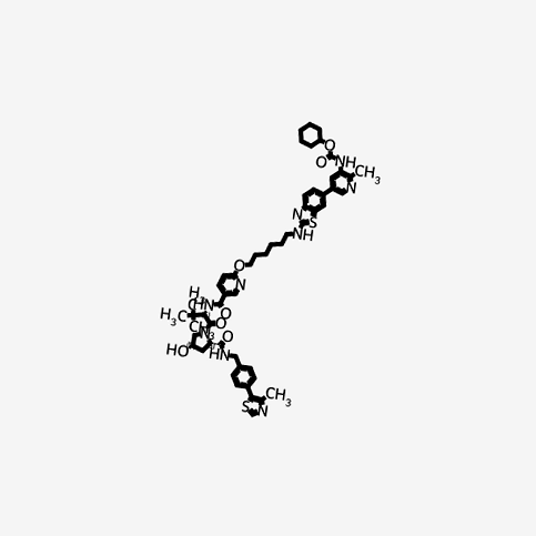 Cc1ncc(-c2ccc3nc(NCCCCCCOc4ccc(C(=O)N[C@H](C(=O)N5C[C@H](O)C[C@H]5C(=O)NCc5ccc(-c6scnc6C)cc5)C(C)(C)C)cn4)sc3c2)cc1NC(=O)OC1CCCCC1